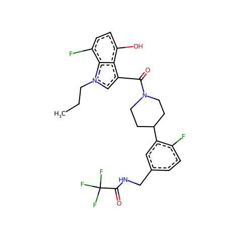 CCCn1cc(C(=O)N2CCC(c3cc(CNC(=O)C(F)(F)F)ccc3F)CC2)c2c(O)ccc(F)c21